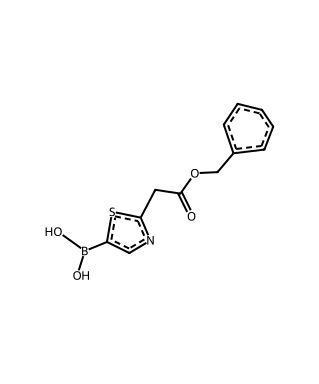 O=C(Cc1ncc(B(O)O)s1)OCc1ccccc1